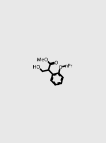 CCCOc1ccccc1C(CO)C(=O)OC